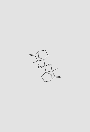 C=C1C2CC[C]([Ni]([SH])([SH])[C]34CCC(C3)C(=C)C4(C)C)(C2)C1(C)C